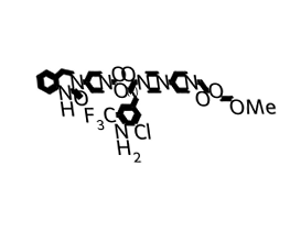 COCCOC(=O)CN1CCC(N2CCN(C(=O)[C@@H](Cc3cc(Cl)c(N)c(C(F)(F)F)c3)OC(=O)N3CCC(N4CCc5ccccc5NC4=O)CC3)CC2)CC1